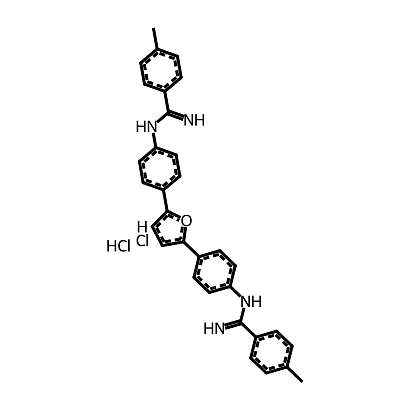 Cc1ccc(C(=N)Nc2ccc(-c3ccc(-c4ccc(NC(=N)c5ccc(C)cc5)cc4)o3)cc2)cc1.Cl.Cl